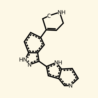 C1=C(c2ccc3[nH]nc(-c4cc5cnccc5[nH]4)c3c2)CCNC1